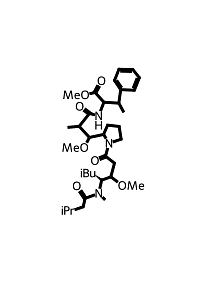 CC[C@H](C)C(C(CC(=O)N1CCCC1C(OC)C(C)C(=O)NC(C(=O)OC)C(C)c1ccccc1)OC)N(C)C(=O)CC(C)C